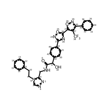 O=C(NCc1nncn1CCc1ccccc1)C(O)c1ccc(-c2noc(-c3onc(-c4ccccc4)c3C(F)(F)F)n2)cc1